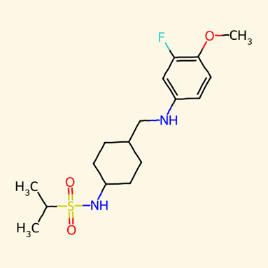 COc1ccc(NCC2CCC(NS(=O)(=O)C(C)C)CC2)cc1F